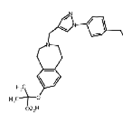 CC(C)(Oc1ccc2c(c1)CCN(Cc1cnn(-c3ccc(CF)cc3)c1)CC2)C(=O)O